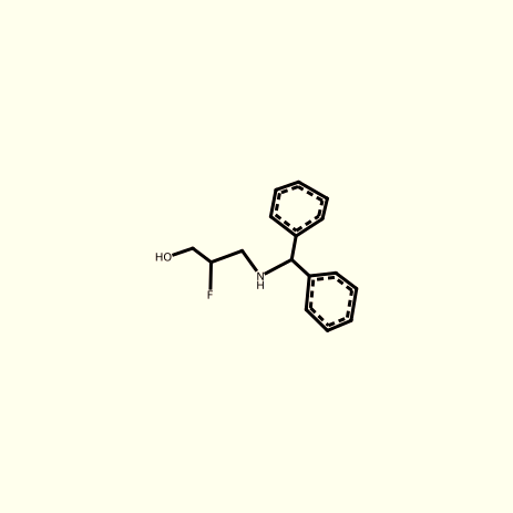 OCC(F)CNC(c1ccccc1)c1ccccc1